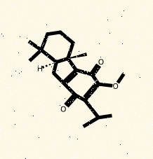 COC1=C(C(C)C)C(=O)C2=C(C1=O)[C@@]1(C)CCCC(C)(C)[C@@H]1C2